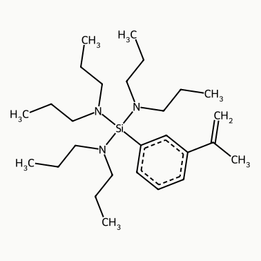 C=C(C)c1cccc([Si](N(CCC)CCC)(N(CCC)CCC)N(CCC)CCC)c1